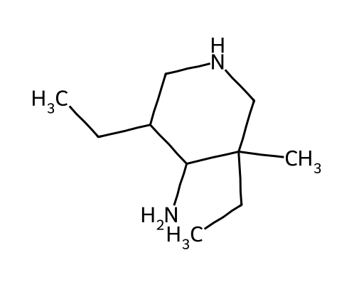 CCC1CNCC(C)(CC)C1N